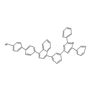 N#Cc1ccc(-c2ccc(-c3ccc(-c4cccc(-c5cc(-c6ccccc6)nc(-c6ccccc6)n5)c4)c4ccccc34)cc2)cc1